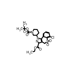 CCOC(=O)c1nn(C2CCCN(C(=O)OC(C)(C)C)C2)c2c1CS(=O)(=O)c1c(Cl)cccc1-2